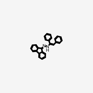 C(=C(NN=C1c2ccccc2-c2ccccc21)c1ccccc1)c1ccccc1